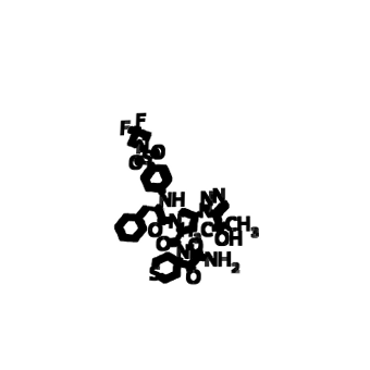 CC(C)(O)c1cnnn1[C@H]1C[C@@H](C(=O)NC2(C(=O)C(N)=O)CCSCC2)N(C(=O)[C@@H](CC2CCCCC2)Nc2ccc(S(=O)(=O)N3CC(F)(F)C3)cc2)C1